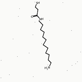 NCCCCCCCCCCCCNC(=O)CCS